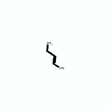 O/C=C/CP